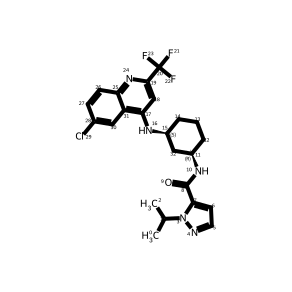 CC(C)n1nccc1C(=O)N[C@@H]1CCC[C@H](Nc2cc(C(F)(F)F)nc3ccc(Cl)cc23)C1